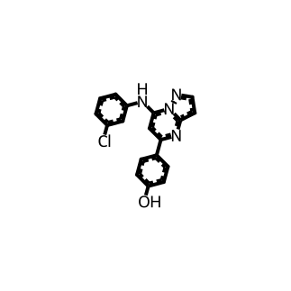 Oc1ccc(-c2cc(Nc3cccc(Cl)c3)n3nccc3n2)cc1